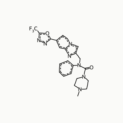 CN1CCN(C(=O)N(Cc2cn3ccc(-c4nnc(C(F)(F)F)o4)cc3n2)c2ccccc2)CC1